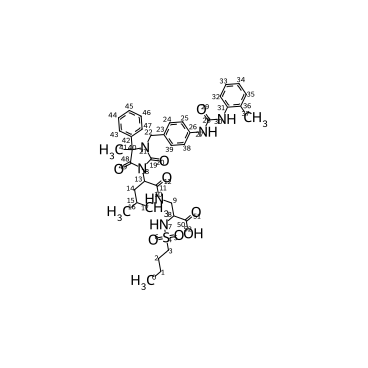 CCCCS(=O)(=O)NC(CNC(=O)C(CC(C)C)N1C(=O)N(Cc2ccc(NC(=O)Nc3ccccc3C)cc2)C(C)(c2ccccc2)C1=O)C(=O)O